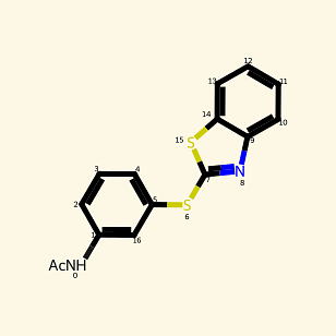 CC(=O)Nc1cccc(Sc2nc3ccccc3s2)c1